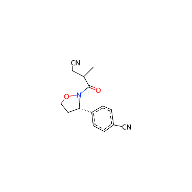 CC(CC#N)C(=O)N1OCC[C@H]1c1ccc(C#N)cc1